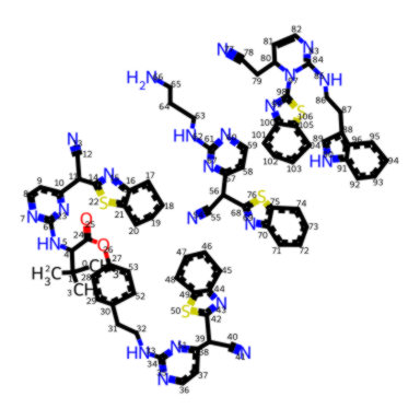 CC(C)(C)C(Nc1nccc(C(C#N)c2nc3ccccc3s2)n1)C(=O)Oc1ccc(CCNc2nccc(C(C#N)c3nc4ccccc4s3)n2)cc1.N#CC(c1ccnc(NCCCN)n1)c1nc2ccccc2s1.N#CCC1C=CN=C(NCCc2c[nH]c3ccccc23)N1c1nc2ccccc2s1